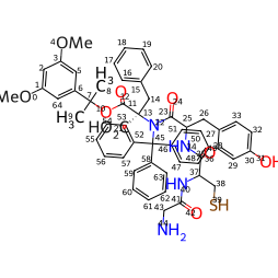 COc1cc(OC)cc(C(C)(C)OC(=O)[C@](Cc2ccccc2)(C(=O)O)N(C(=O)C(Cc2ccc(O)cc2)NC(=O)C(CS)NC(=O)CN)C(c2ccccc2)(c2ccccc2)c2ccccc2)c1